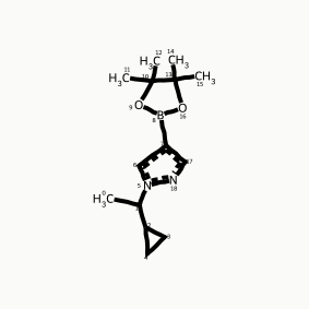 CC(C1CC1)n1cc(B2OC(C)(C)C(C)(C)O2)cn1